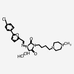 CN1CCN(CCCCN2C(=O)CN(N=Cc3ccc(-c4ccc(Cl)cc4)o3)C2=O)CC1.Cl.Cl